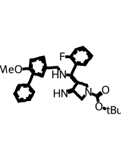 COc1ccc(CN/C(=C2/CN(C(=O)OC(C)(C)C)CC2=N)c2ccccc2F)cc1-c1ccccc1